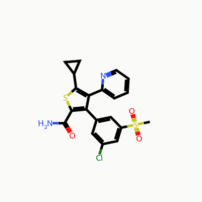 CS(=O)(=O)c1cc(Cl)cc(-c2c(C(N)=O)sc(C3CC3)c2-c2ccccn2)c1